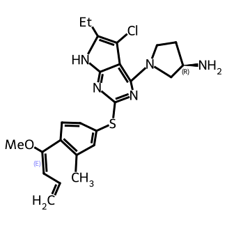 C=C/C=C(/OC)c1ccc(Sc2nc(N3CC[C@@H](N)C3)c3c(Cl)c(CC)[nH]c3n2)cc1C